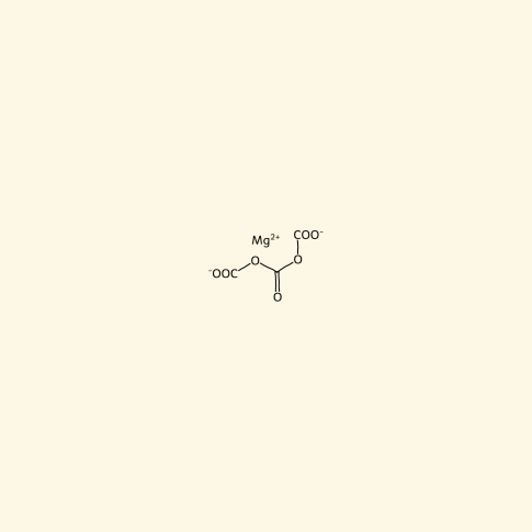 O=C([O-])OC(=O)OC(=O)[O-].[Mg+2]